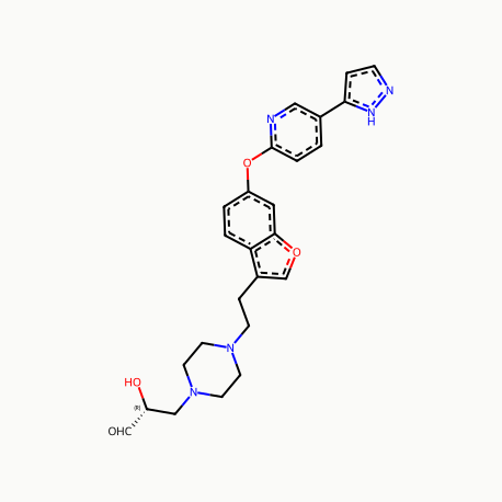 O=C[C@H](O)CN1CCN(CCc2coc3cc(Oc4ccc(-c5ccn[nH]5)cn4)ccc23)CC1